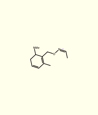 C/C=N\OCC1=C(C)C=CCC1NC